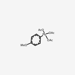 COc1cc[c]([Pb]([O]C(C)=O)([O]C(C)=O)[O]C(C)=O)cc1